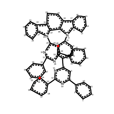 c1ccc(-c2cc(-c3ccc(-n4c5ccccc5c5ccc6c7ccccc7n(-c7nc(-c8ccccc8)nc(-c8ccccc8)n7)c6c54)cc3)nc(-c3ccccc3)n2)cc1